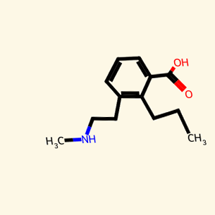 CCCc1c(CCNC)cccc1C(=O)O